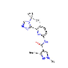 CCn1cc(C(=O)Nc2cccc(-c3nncn3C3(C(F)(F)F)CC3)n2)c(OC)n1